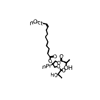 CCCCCCCC/C=C\CCCCCCCC(=O)OC(CCC)(COC(=O)C(C)O)COC(=O)C(C)O